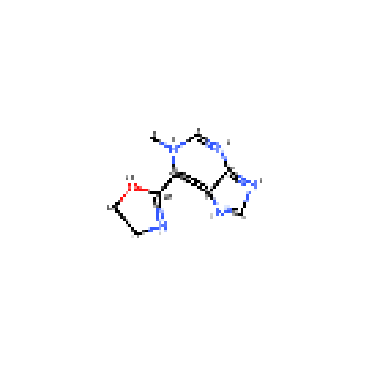 Cn1cnc2ncnc-2c1C1=NCCO1